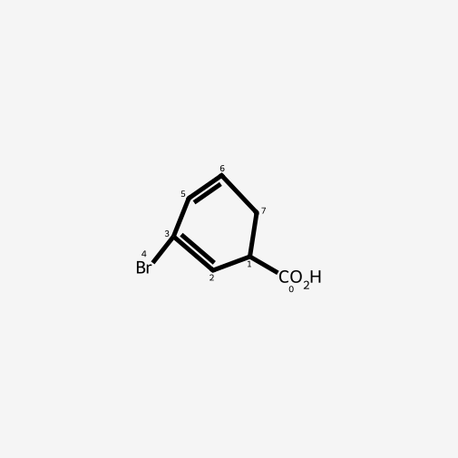 O=C(O)C1C=C(Br)C=CC1